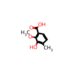 COc1c(C(=O)O)ccc(C)c1O